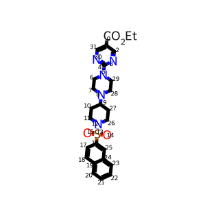 CCOC(=O)c1cnc(N2CCN(C3CCN(S(=O)(=O)c4ccc5ccccc5c4)CC3)CC2)nc1